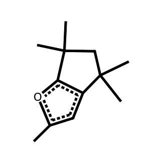 Cc1cc2c(o1)C(C)(C)CC2(C)C